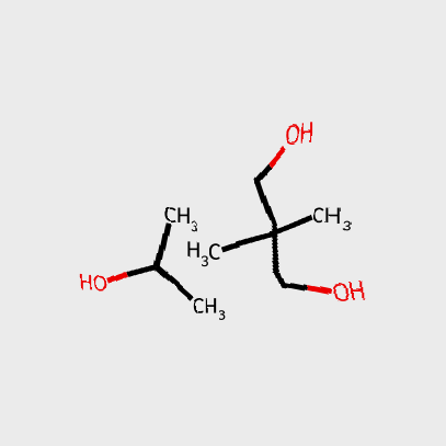 CC(C)(CO)CO.CC(C)O